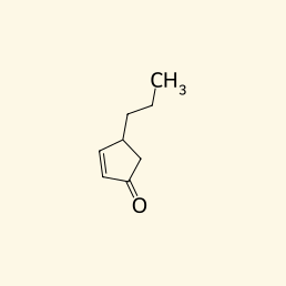 CCCC1C=CC(=O)C1